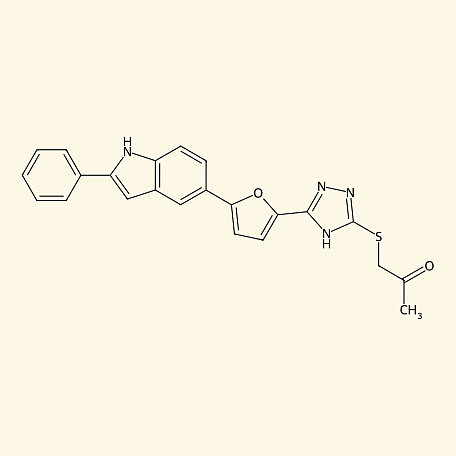 CC(=O)CSc1nnc(-c2ccc(-c3ccc4[nH]c(-c5ccccc5)cc4c3)o2)[nH]1